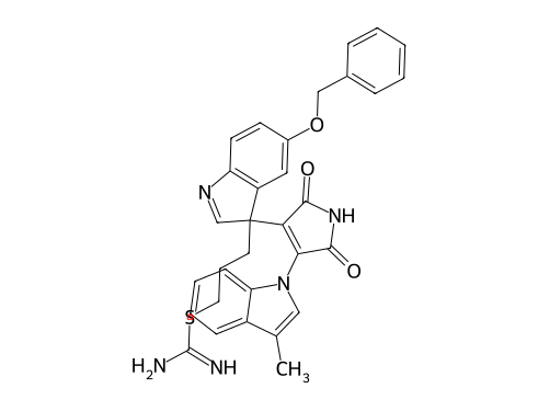 Cc1cn(C2=C(C3(CCCSC(=N)N)C=Nc4ccc(OCc5ccccc5)cc43)C(=O)NC2=O)c2ccccc12